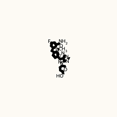 COc1c(Cc2ccc(-c3nn(C4CCC(CO)OC4)c4ncnc(N)c34)cc2)cc(F)cc1C(N)=O